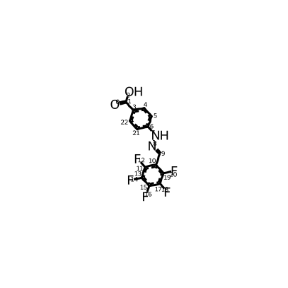 O=C(O)c1ccc(NN=Cc2c(F)c(F)c(F)c(F)c2F)cc1